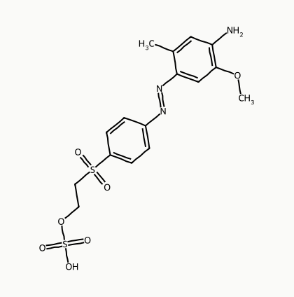 COc1cc(N=Nc2ccc(S(=O)(=O)CCOS(=O)(=O)O)cc2)c(C)cc1N